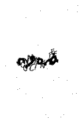 Cc1ccc(Cc2cnc3n2CCN(c2cnn(C4CCCCO4)c(=O)c2Cl)C3)c(C(F)(F)F)c1